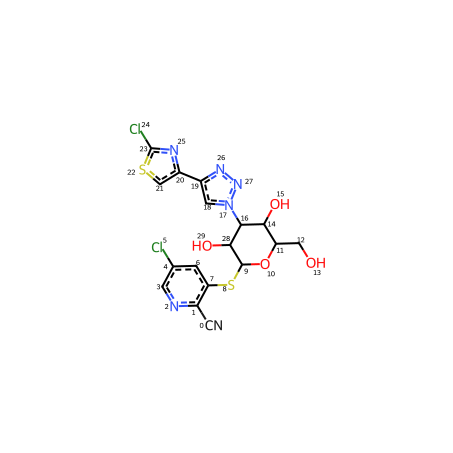 N#Cc1ncc(Cl)cc1SC1OC(CO)C(O)C(n2cc(-c3csc(Cl)n3)nn2)C1O